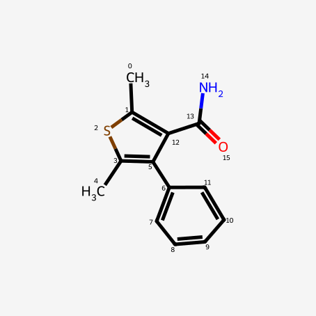 Cc1sc(C)c(-c2ccccc2)c1C(N)=O